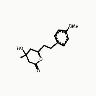 COc1ccc(CCC2CC(C)(O)CC(=O)O2)cc1